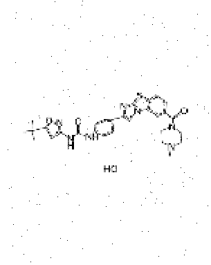 CN1CCN(C(=O)c2ccc3sc4nc(-c5ccc(NC(=O)Nc6cc(C(C)(C)C)on6)cc5)cn4c3c2)CC1.Cl